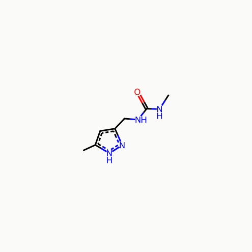 CNC(=O)NCc1cc(C)[nH]n1